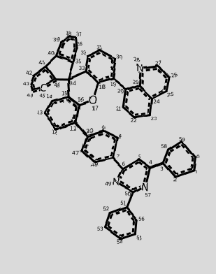 c1ccc(-c2cc(-c3ccc(-c4cccc5c4Oc4c(-c6cccc7cccnc67)cccc4C54c5ccccc5-c5ccccc54)cc3)nc(-c3ccccc3)n2)cc1